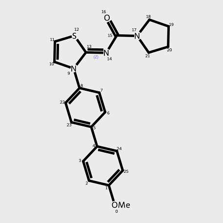 COc1ccc(-c2ccc(-n3ccs/c3=N\C(=O)N3CCCC3)cc2)cc1